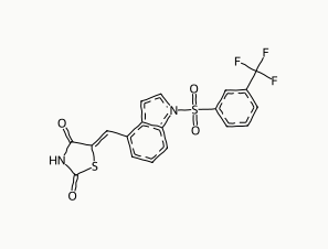 O=C1NC(=O)/C(=C/c2cccc3c2ccn3S(=O)(=O)c2cccc(C(F)(F)F)c2)S1